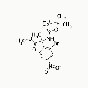 COC(=O)C(C)(NC(=O)OC(C)(C)C)c1ccc([N+](=O)[O-])cc1Br